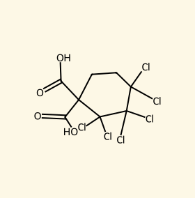 O=C(O)C1(C(=O)O)CCC(Cl)(Cl)C(Cl)(Cl)C1(Cl)Cl